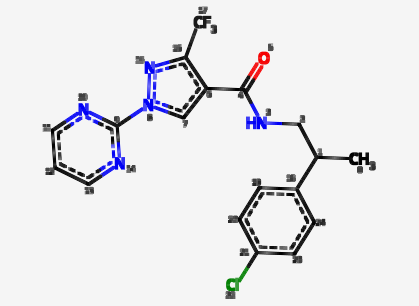 CC(CNC(=O)c1cn(-c2ncccn2)nc1C(F)(F)F)c1ccc(Cl)cc1